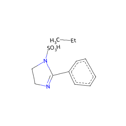 CCC.O=S(=O)(O)N1CCN=C1c1ccccc1